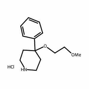 COCCOC1(c2ccccc2)CCNCC1.Cl